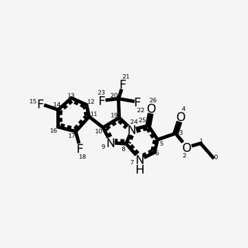 CCOC(=O)c1c[nH]c2nc(-c3ccc(F)cc3F)c(C(F)(F)F)n2c1=O